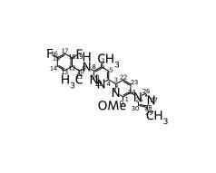 COc1nc(-c2cc(C)c(N[C@@H](C)c3ccc(F)cc3F)nn2)ccc1-n1cnc(C)c1